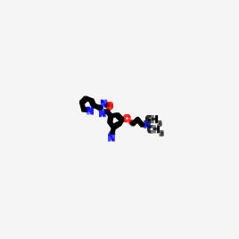 CN(C)CCCOc1cc(C#N)cc(-c2nc(-c3ccccn3)no2)c1